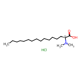 CCCCCCCCCCCCCC[C@@H](C(=O)O)N(C)C.Cl